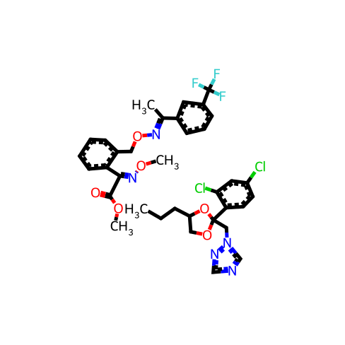 CCCC1COC(Cn2cncn2)(c2ccc(Cl)cc2Cl)O1.CO/N=C(/C(=O)OC)c1ccccc1CO/N=C(\C)c1cccc(C(F)(F)F)c1